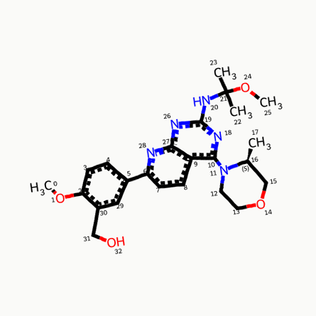 COc1ccc(-c2ccc3c(N4CCOC[C@@H]4C)nc(NC(C)(C)OC)nc3n2)cc1CO